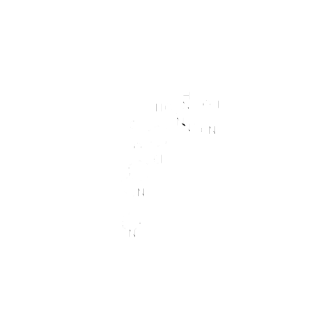 Cc1cc(-c2ccncc2)nc2ccc(Oc3c(Cl)cc(N4N=C(C#N)C(O)NC4O)cc3Cl)cc12